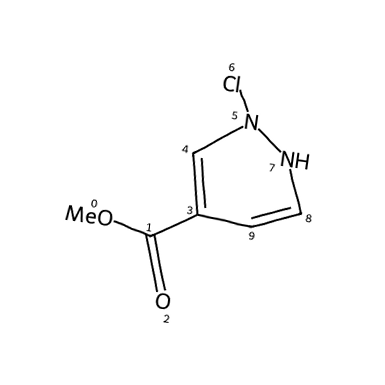 COC(=O)C1=CN(Cl)NC=C1